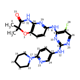 CC1(C)Oc2ccc(Nc3nc(Nc4ccc(N5CCCCC5)nc4)ncc3F)nc2NC1=O